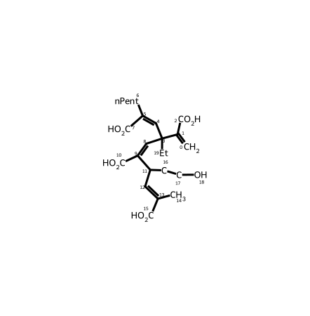 C=C(C(=O)O)C(C=C(CCCCC)C(=O)O)(C=C(C(=O)O)C(C=C(C)C(=O)O)CCO)CC